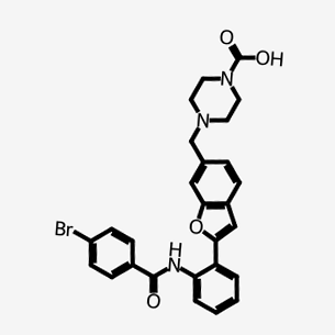 O=C(Nc1ccccc1-c1cc2ccc(CN3CCN(C(=O)O)CC3)cc2o1)c1ccc(Br)cc1